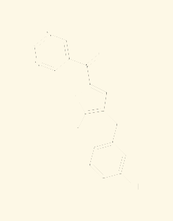 O=C(c1cncnc1)c1cc(Cc2cccc(Cl)c2)c(Cl)s1